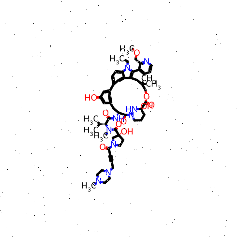 CCn1c(-c2cccnc2COC)c2c3cc(ccc31)-c1cc(O)cc(c1)C[C@H](NC(=O)[C@H](C(C)C)N(C)C(=O)[C@@]1(O)CCN(C(=O)C#CCN3CCN(C)CC3)C1)C(=O)N1CCC[C@@](O)(N1)C(=O)OCC(C)(C)C2